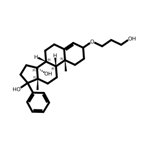 C[C@]12CCC(OCCCO)C=C1CC[C@@H]1[C@H]2CC[C@]2(C)C(O)(c3ccccc3)CC[C@@]12O